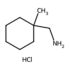 CC1(CN)CCCCC1.Cl